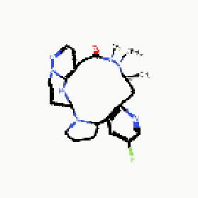 C[C@H]1Cc2ncc(F)cc2C2CCCN2C2C=Cn3ncc(c3N2)C(=O)N(C)N1C